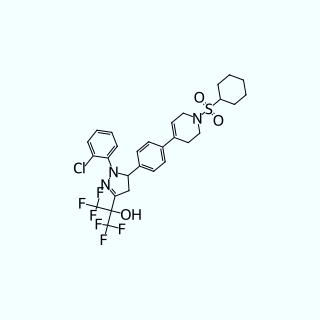 O=S(=O)(C1CCCCC1)N1CC=C(c2ccc(C3CC(C(O)(C(F)(F)F)C(F)(F)F)=NN3c3ccccc3Cl)cc2)CC1